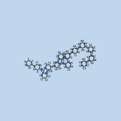 c1ccc(-c2ccc(-n3c4ccccc4c4cc(-c5ccc6c(c5)c5ccccc5n6-c5ccccc5-c5cccc(-c6ccc(-c7cccc(-c8cccc(-c9cccc(-c%10ccccc%10)c9)c8)c7)cc6)c5)ccc43)cc2)cc1